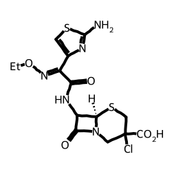 CCON=C(C(=O)NC1C(=O)N2CC(Cl)(C(=O)O)CS[C@H]12)c1csc(N)n1